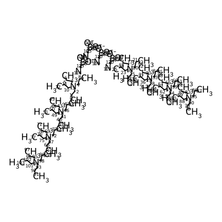 CCC[N+](CCC)(CCC)CCC.CCC[N+](CCC)(CCC)CCC.CCC[N+](CCC)(CCC)CCC.CCC[N+](CCC)(CCC)CCC.CCC[N+](CCC)(CCC)CCC.CCC[N+](CCC)(CCC)CCC.CCC[N+](CCC)(CCC)CCC.CCC[N+](CCC)(CCC)CCC.N#CB([O-])[O-].N#CB([O-])[O-].N#CB([O-])[O-].N#CB([O-])[O-]